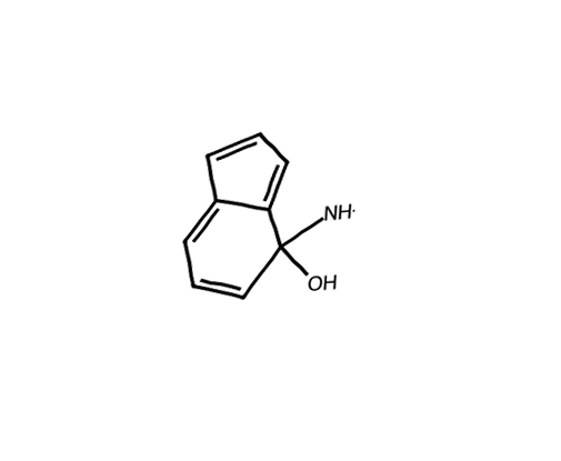 [NH]C1(O)C=CC=C2C=CC=C21